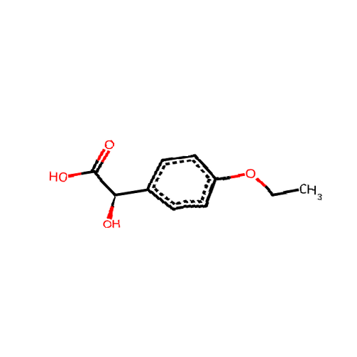 CCOc1ccc([C@@H](O)C(=O)O)cc1